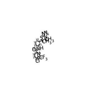 C[C@H](Sc1nncn1C)c1cccc(NC(=O)c2ccc(Cl)c(C(F)(F)F)n2)c1